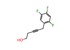 OCCC#CCc1cc(F)c(F)cc1F